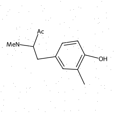 CNC(Cc1ccc(O)c(C)c1)C(C)=O